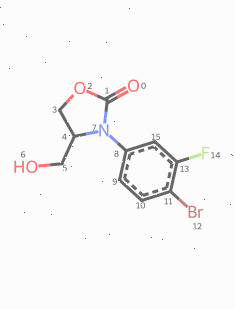 O=C1OCC(CO)N1c1ccc(Br)c(F)c1